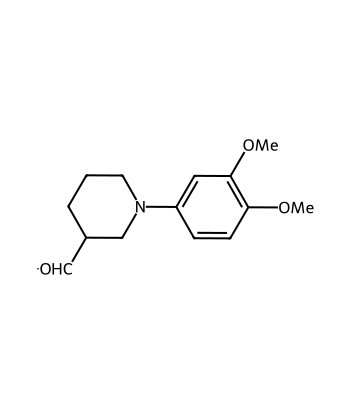 COc1ccc(N2CCCC([C]=O)C2)cc1OC